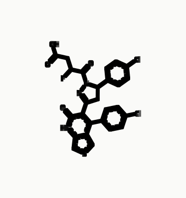 O=C(O)CC(F)C(=O)N1N=C(c2c(-c3ccc(Cl)cc3)c3cscc3[nH]c2=O)CC1c1ccc(Cl)cc1